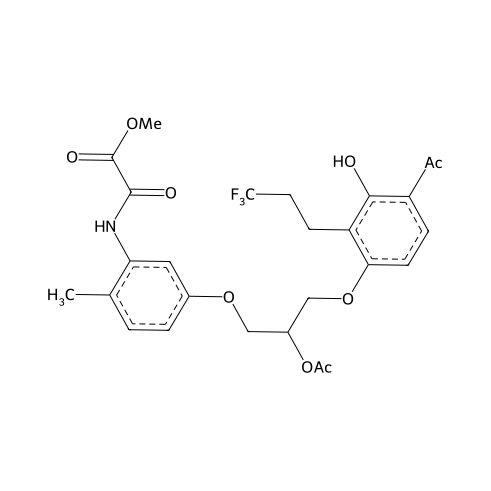 COC(=O)C(=O)Nc1cc(OCC(COc2ccc(C(C)=O)c(O)c2CCC(F)(F)F)OC(C)=O)ccc1C